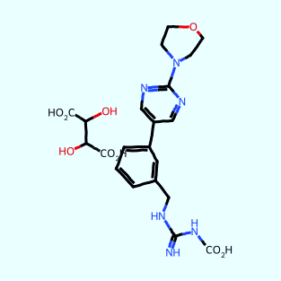 N=C(NCc1cccc(-c2cnc(N3CCOCC3)nc2)c1)NC(=O)O.O=C(O)C(O)C(O)C(=O)O